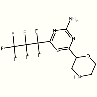 Nc1nc(C2CNCCO2)nc(C(F)(F)C(F)(F)C(F)(F)F)n1